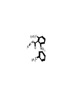 CCOC(=O)c1cccc([N+](=O)[O-])c1C(=O)N=[N+]=[N-].Cc1ccccc1